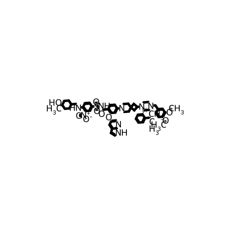 COc1ccc(CN2CCN(C3CC4(CCN(c5ccc(C(=O)NS(=O)(=O)c6ccc(NCC7CCC(C)(O)CC7)c([N+](=O)[O-])c6)c(Oc6cnc7[nH]ccc7c6)c5)CC4)C3)[C@@H](c3ccccc3C(C)C)C2)cc1OC